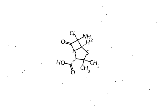 CC1(C)S[C@H]2N(C(=O)C2(N)Cl)[C@H]1C(=O)O